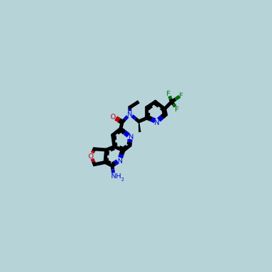 CCN(C(=O)c1cc2c3c(c(N)nc2cn1)COC3)[C@H](C)c1ccc(C(F)(F)F)cn1